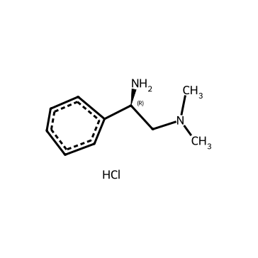 CN(C)C[C@H](N)c1ccccc1.Cl